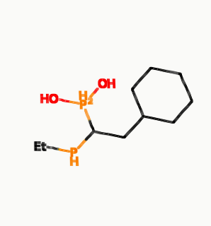 CCPC(CC1CCCCC1)[PH2](O)O